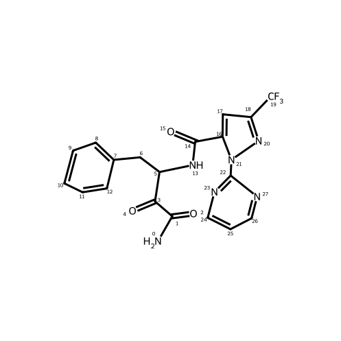 NC(=O)C(=O)C(Cc1ccccc1)NC(=O)c1cc(C(F)(F)F)nn1-c1ncccn1